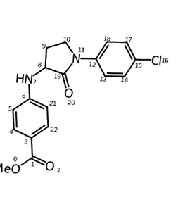 COC(=O)c1ccc(NC2CCN(c3ccc(Cl)cc3)C2=O)cc1